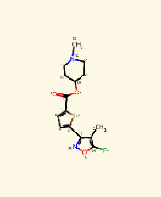 Cc1c(-c2ccc(C(=O)OC3CCN(C)CC3)s2)noc1F